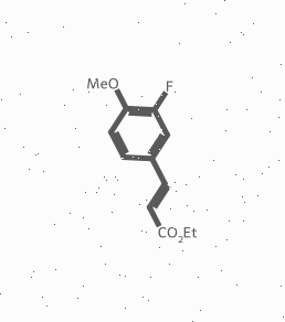 CCOC(=O)C=Cc1ccc(OC)c(F)c1